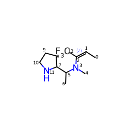 C/C=C(\N(C)C(C)C1CCCN1)C(F)(F)F